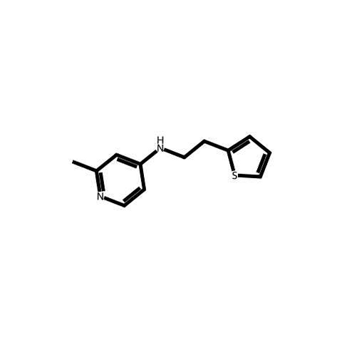 Cc1cc(NCCc2cccs2)ccn1